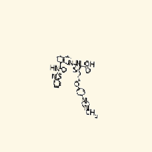 CN1CCN(C2C=CC(OCCCc3sc(N4CCc5cccc(C(=O)Nc6nc7ccccc7s6)c5C4)nc3C(=O)O)=CC2)CC1